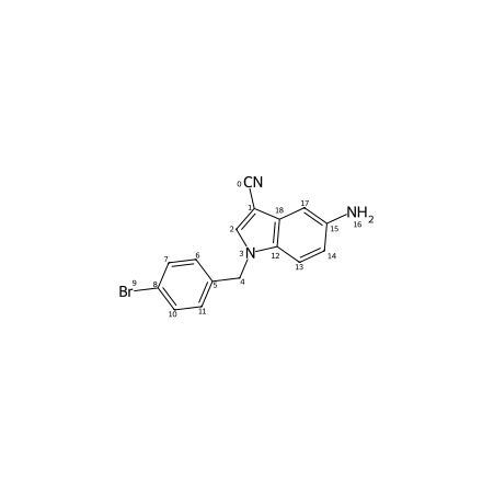 N#Cc1cn(Cc2ccc(Br)cc2)c2ccc(N)cc12